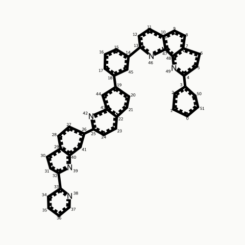 c1ccc(-c2ccc3ccc4ccc(-c5cccc(-c6ccc7ccc(-c8ccc9ccc(-c%10ccccn%10)nc9c8)nc7c6)c5)nc4c3n2)cc1